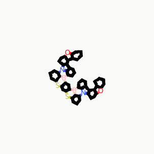 c1cc2c3c(c1)-n1c4ccc5oc6ccccc6c5c4c4cccc(c41)B3c1cc3c(cc1S2)Sc1cccc2c1B3c1cccc3c4c5c(ccc4n-2c13)oc1ccccc15